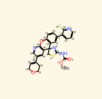 CC(C)(C)OC(=O)NC1=NC2(CS1)c1cc(-c3cccnc3F)ccc1Oc1ncc(C3=CCOCC3)cc12